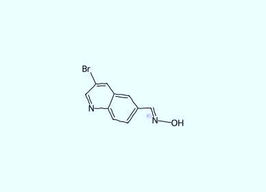 O/N=C/c1ccc2ncc(Br)cc2c1